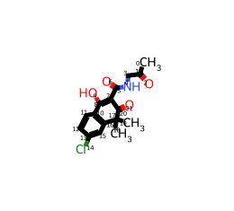 CC(=O)CNC(=O)C1=C(O)c2ccc(Cl)cc2C(C)(C)C1=O